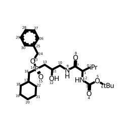 CC(C)C(NC(=O)OC(C)(C)C)C(=O)NCC(O)CP(=O)(CC1CCCCC1)OCc1ccccc1